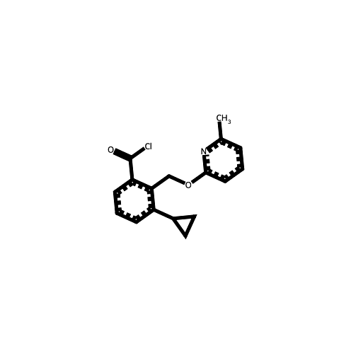 Cc1cccc(OCc2c(C(=O)Cl)cccc2C2CC2)n1